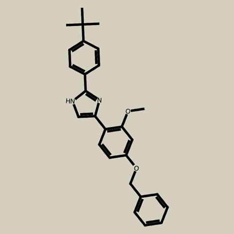 COc1cc(OCc2ccccc2)ccc1-c1c[nH]c(-c2ccc(C(C)(C)C)cc2)n1